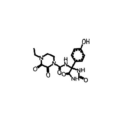 CCN1CCN(C(=O)NC(NC=O)(C([NH])=O)c2ccc(O)cc2)C(=O)C1=O